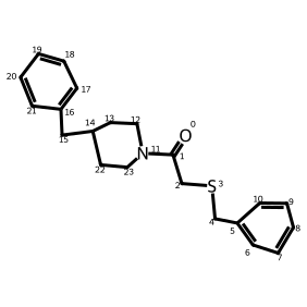 O=C(CSCc1ccccc1)N1CCC(Cc2ccccc2)CC1